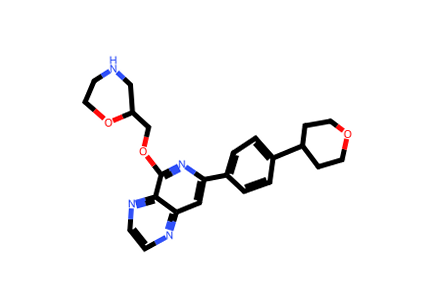 c1cnc2c(OCC3CNCCO3)nc(-c3ccc(C4CCOCC4)cc3)cc2n1